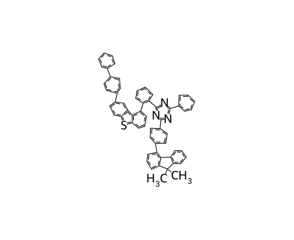 CC1(C)c2ccccc2-c2c(-c3ccc(-c4nc(-c5ccccc5)nc(-c5ccccc5-c5cccc6sc7ccc(-c8ccc(-c9ccccc9)cc8)cc7c56)n4)cc3)cccc21